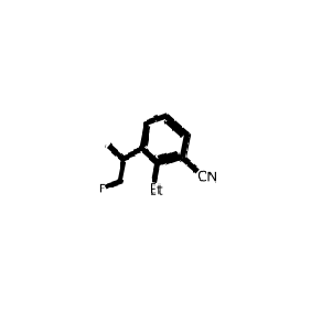 [CH2]C(CF)c1cccc(C#N)c1CC